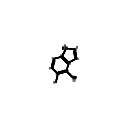 Cc1ccc2[nH]ncc2c1C(C)C